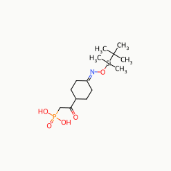 CC(C)(C)[Si](C)(C)ON=C1CCC(C(=O)CP(=O)(O)O)CC1